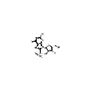 Nc1nc2c([nH]c(=[Se])n2[C@@H]2O[C@H](CO)[C@@H](O)[C@H]2O)c(=O)[nH]1.[Cl][Pt][Cl]